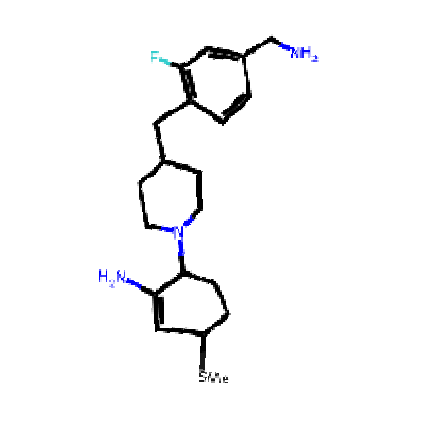 CSC1C=C(N)C(N2CCC(Cc3ccc(CN)cc3F)CC2)CC1